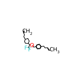 C=CCCC1CCC(C(OCc2ccc(CC/C=C/C)cc2)C(F)F)CC1